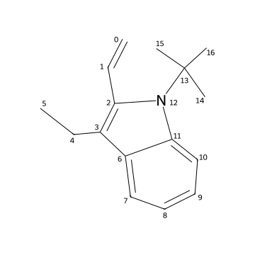 C=Cc1c(CC)c2ccccc2n1C(C)(C)C